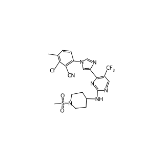 Cc1ccc(-n2cnc(-c3nc(NC4CCN(S(C)(=O)=O)CC4)ncc3C(F)(F)F)c2)c(C#N)c1Cl